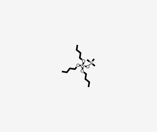 CCCC[O][Zr]([O]CCCC)([O]CCCC)[O][Si](C)(C)C